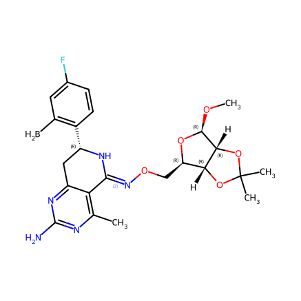 Bc1cc(F)ccc1[C@H]1Cc2nc(N)nc(C)c2/C(=N/OC[C@H]2O[C@@H](OC)[C@@H]3OC(C)(C)O[C@@H]32)N1